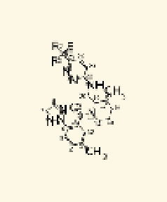 Cc1ccc(-n2nccn2)c(C(=O)N2CCC[C@@H](C)C2CNc2ccc(C(F)(F)F)nn2)c1